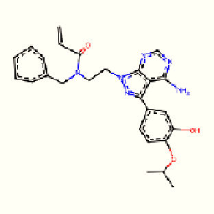 C=CC(=O)N(CCn1nc(-c2ccc(OC(C)C)c(O)c2)c2c(N)ncnc21)Cc1ccccc1